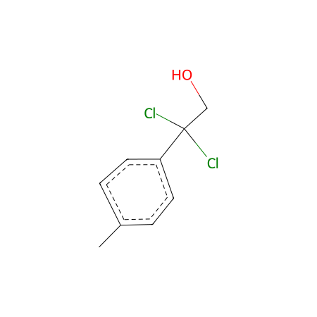 Cc1ccc(C(Cl)(Cl)CO)cc1